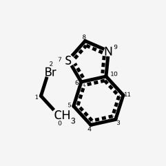 CCBr.c1ccc2scnc2c1